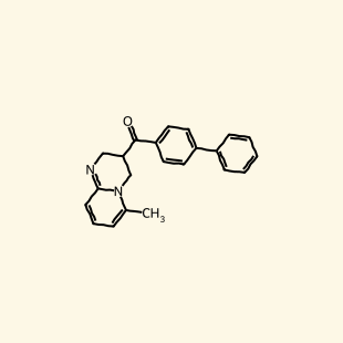 CC1=CC=CC2=NCC(C(=O)c3ccc(-c4ccccc4)cc3)CN12